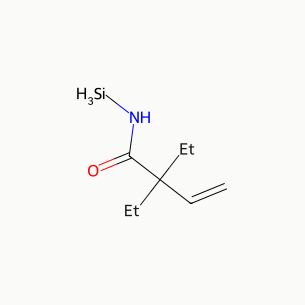 C=CC(CC)(CC)C(=O)N[SiH3]